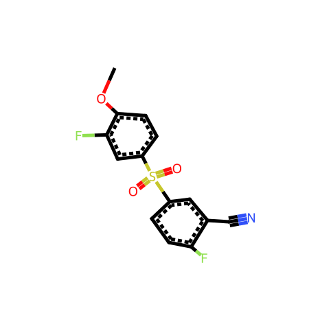 COc1ccc(S(=O)(=O)c2ccc(F)c(C#N)c2)cc1F